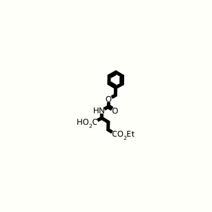 CCOC(=O)CCC(NC(=O)OCc1ccccc1)C(=O)O